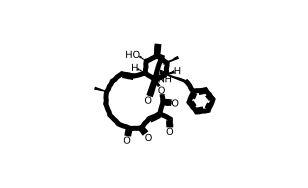 C=C1[C@@H](C)[C@H]2[C@H](Cc3ccccc3)NC(=O)[C@]23OC(=O)/C(C=O)=C/C(=O)C(=O)CCC[C@@H](C)C/C=C/[C@H]3[C@@H]1O